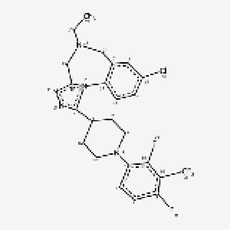 Fc1ccc(N2CCC(c3nnc4n3-c3ccc(Cl)cc3CN(CC(F)(F)F)C4)CC2)c(F)c1C(F)(F)F